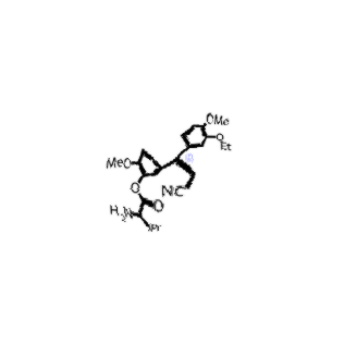 CCOc1cc(/C(=C/C#N)c2ccc(OC)c(OC(=O)C(N)C(C)C)c2)ccc1OC